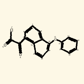 O=C(Cl)C(=O)c1cccc2c(Oc3ccccc3)cccc12